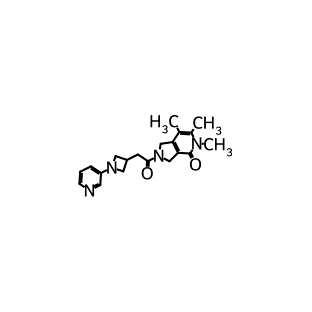 Cc1c2c(c(=O)n(C)c1C)CN(C(=O)CC1CN(c3cccnc3)C1)C2